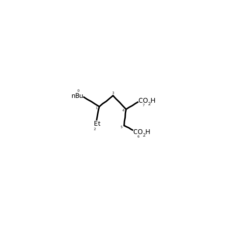 CCCCC(CC)CC(CC(=O)O)C(=O)O